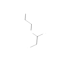 OC(CCl)OCCCl